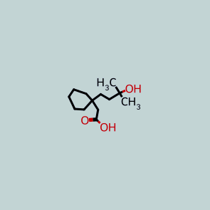 CC(C)(O)CCC1(CC(=O)O)CCCCC1